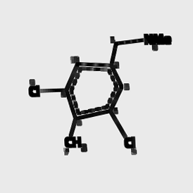 CNCc1cc(Cl)c(C)c(Cl)c1